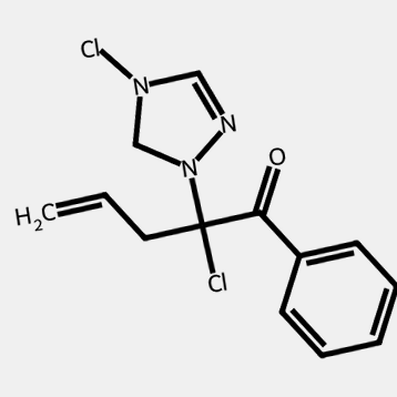 C=CCC(Cl)(C(=O)c1ccccc1)N1CN(Cl)C=N1